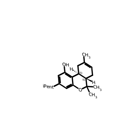 CCCC(C)c1cc(O)c2c(c1)OC(C)(C)[C@H]1CC=C(C)C[C@H]21